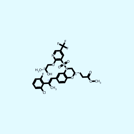 COC(=O)CC[C@H]1CN(S(=O)(=O)c2cc(C(F)(F)F)cnc2OC[C@@H](C)O)c2cc(/C=C(\C)c3c(F)cccc3Cl)ccc2O1